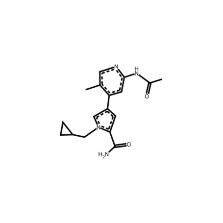 CC(=O)Nc1cc(-c2cc(C(N)=O)n(CC3CC3)c2)c(C)cn1